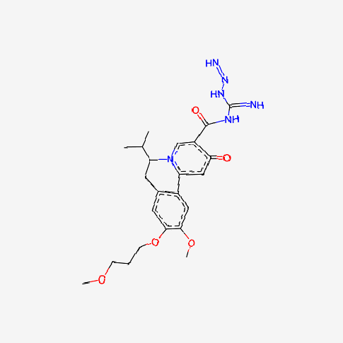 COCCCOc1cc2c(cc1OC)-c1cc(=O)c(C(=O)NC(=N)NN=N)cn1C(C(C)C)C2